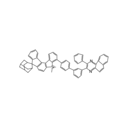 C[Si]1(C)c2ccc3c(c2-c2cccc(-c4ccc(-c5cccc(-c6nc7ccc8ccccc8c7nc6-c6ccccc6)c5)cc4)c21)-c1ccccc1C31C2CC3CC(C2)CC1C3